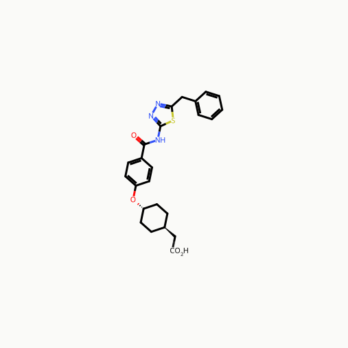 O=C(O)C[C@H]1CC[C@H](Oc2ccc(C(=O)Nc3nnc(Cc4ccccc4)s3)cc2)CC1